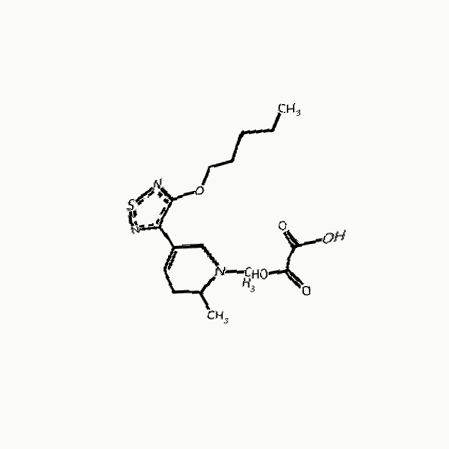 CCCCCOc1nsnc1C1=CCC(C)N(C)C1.O=C(O)C(=O)O